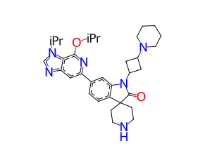 CC(C)Oc1nc(-c2ccc3c(c2)N(C2CC(N4CCCCC4)C2)C(=O)C32CCNCC2)cc2ncn(C(C)C)c12